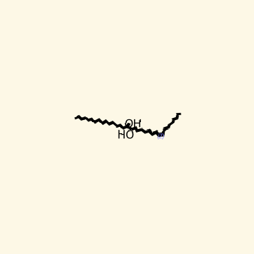 CCCCCCCC/C=C\CCCCCCCC(O)C(O)CCCCCCCCCCCCCCC